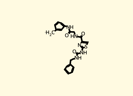 [CH2]c1cccc(NC(=O)CNC(=O)c2csc(NC(=O)NCc3ccccc3)n2)c1